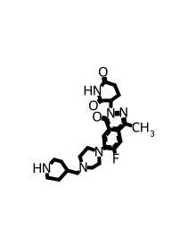 Cc1nn(C2CCC(=O)NC2=O)c(=O)c2cc(N3CCN(CC4CCNCC4)CC3)c(F)cc12